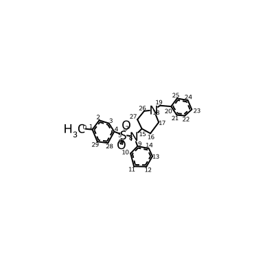 Cc1ccc(S(=O)(=O)N(c2ccccc2)C2CCN(Cc3ccccc3)CC2)cc1